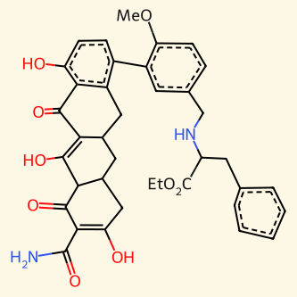 CCOC(=O)C(Cc1ccccc1)NCc1ccc(OC)c(-c2ccc(O)c3c2CC2CC4CC(O)=C(C(N)=O)C(=O)C4C(O)=C2C3=O)c1